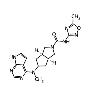 Cc1nc(NC(=O)N2C[C@H]3CC(N(C)c4ncnc5[nH]ccc45)C[C@H]3C2)no1